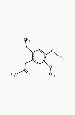 CCc1cc(OC)c(OC)cc1CC(C)=O